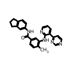 Cc1ccc(C(=O)Nc2ccc3c(c2)CCC3)cc1Nc1ncccc1-c1ccncn1